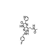 CC(=O)NCCc1nc(NCc2ccc(F)cc2)nc2[nH]c(=O)c(-c3cccnc3)nc12